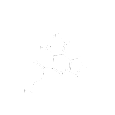 CCOC(=O)C(=O)C(C)/C(=N\O)c1ccco1